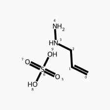 C=CCNN.O=S(=O)(O)O